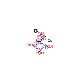 CC(C)N(NC(=O)OCc1ccccc1)C(=O)CCC(C(=O)O)N1CCN(CC(=O)O)CCN(CC(=O)O)CCN(CC(=O)O)CC1.[Gd]